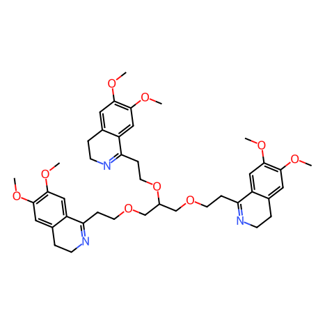 COc1cc2c(cc1OC)C(CCOCC(COCCC1=NCCc3cc(OC)c(OC)cc31)OCCC1=NCCc3cc(OC)c(OC)cc31)=NCC2